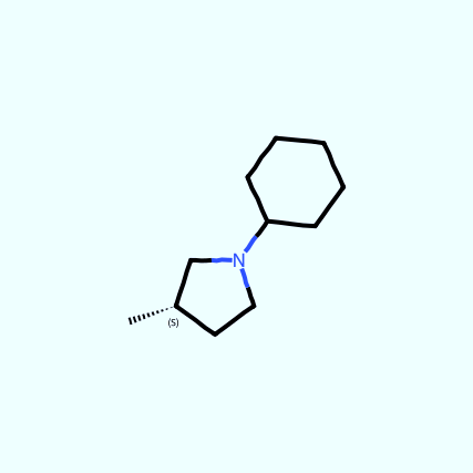 C[C@H]1CCN(C2CCCCC2)C1